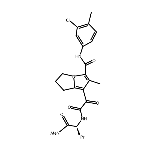 CNC(=O)[C@@H](NC(=O)C(=O)c1c(C)c(C(=O)Nc2ccc(C)c(Cl)c2)n2c1CCC2)C(C)C